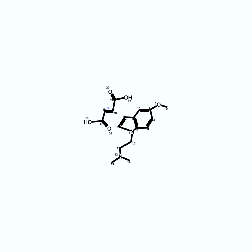 COc1ccc2c(ccn2CCN(C)C)c1.O=C(O)/C=C/C(=O)O